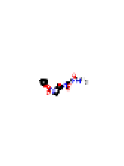 CC(=O)NC[C@H]1CN(c2ccc3c(c2)CCCN(C(=O)OCc2ccccc2)C3)C(=O)O1